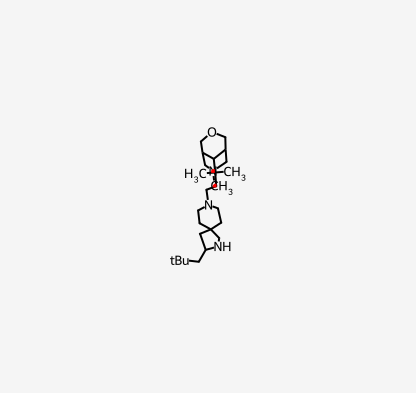 CN1CC2COCC(C1)C2C(C)(C)CCN1CCC2(CC1)CNC(CC(C)(C)C)C2